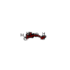 CC1(C)CCC(CN2CCN(c3ccc(C(=O)NS(=O)(=O)c4ccc(NCC5CCN(CCCCCCCCCC#Cc6cccc7c6CN(C6CCC(=O)NC6=O)C7=O)CC5)c([N+](=O)[O-])c4)c(Oc4cnc5[nH]ccc5c4)c3)CC2)=C(c2ccc(Cl)cc2)C1